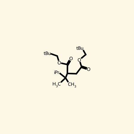 CC(C)C(C)(C)C(CC(=O)OCC(C)(C)C)C(=O)OCC(C)(C)C